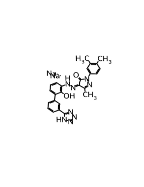 CC1=NN(c2ccc(C)c(C)c2)C(=O)C1=NNc1cccc(-c2cccc(-c3nnn[nH]3)c2)c1O.[Na].[Na]